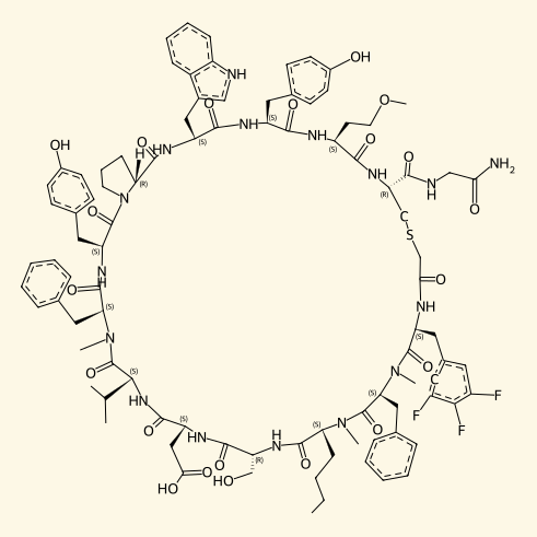 CCCC[C@H]1C(=O)N[C@H](CO)C(=O)N[C@@H](CC(=O)O)C(=O)N[C@@H](C(C)C)C(=O)N(C)[C@@H](Cc2ccccc2)C(=O)N[C@@H](Cc2ccc(O)cc2)C(=O)N2CCC[C@@H]2C(=O)N[C@@H](Cc2c[nH]c3ccccc23)C(=O)N[C@@H](Cc2ccc(O)cc2)C(=O)N[C@@H](CCOC)C(=O)N[C@H](C(=O)NCC(N)=O)CSCC(=O)N[C@@H](Cc2cc(F)c(F)c(F)c2)C(=O)N(C)[C@@H](Cc2ccccc2)C(=O)N1C